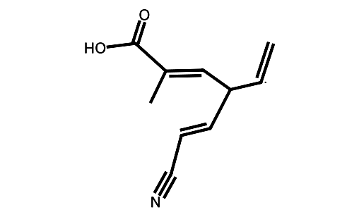 C=[C]C(C=CC#N)C=C(C)C(=O)O